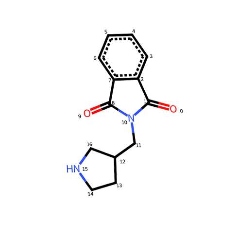 O=C1c2ccccc2C(=O)N1CC1CCNC1